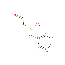 O=CC[S+]([O-])Cc1ccccc1